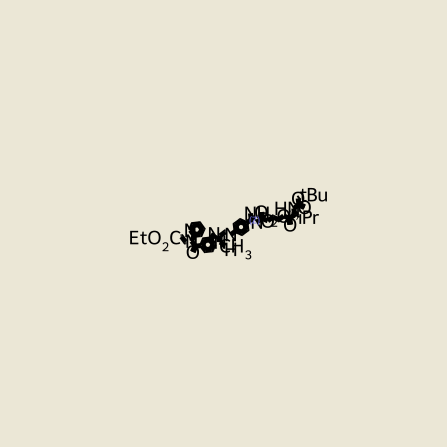 CCOC(=O)CCN(C(=O)c1ccc2c(c1)nc(CNc1ccc(/C(N)=N/C(=O)OCCOC(=O)[C@@H](NC(=O)OC(C)(C)C)C(C)C)cc1)n2C)c1ccccn1